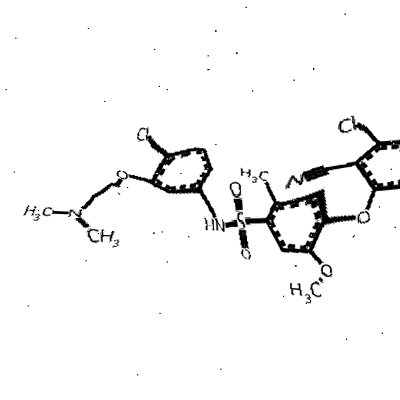 COc1cc(S(=O)(=O)Nc2ccc(Cl)c(OCCN(C)C)c2)c(C)cc1Oc1cccc(Cl)c1C#N